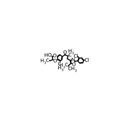 CCC(Oc1ccc(C(=O)C(C)Cc2nc(-c3ccc(Cl)cc3Cl)oc2C(C)C)cc1C)C(=O)O